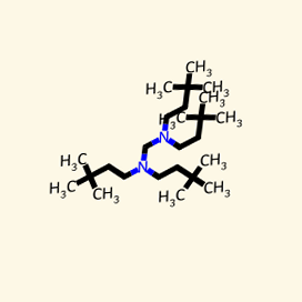 CC(C)(C)CCN(CCC(C)(C)C)CN(CCC(C)(C)C)CCC(C)(C)C